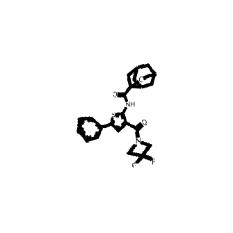 O=C(c1cc(-c2ccccc2)sc1NC(=O)C12CC3CC(CC1C3)C2)N1CC(F)(F)C1